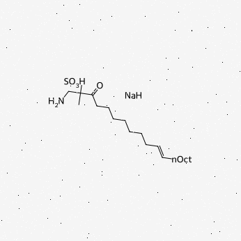 CCCCCCCCC=CCCCCCCCC(=O)C(C)(CN)S(=O)(=O)O.[NaH]